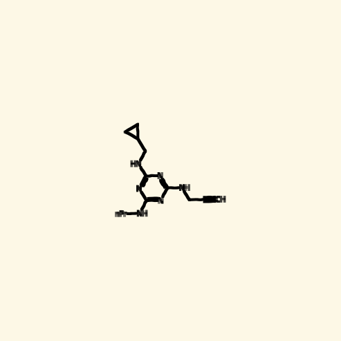 C#CCNc1nc(NCCC)nc(NCC2CC2)n1